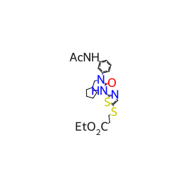 CCOC(=O)CCSc1cnc(NC(=O)N(CC2CCCC2)c2cccc(NC(C)=O)c2)s1